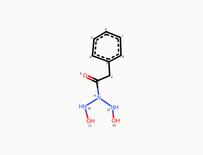 O=C(Cc1ccccc1)N(NO)NO